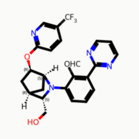 O=Cc1c(-c2ncccn2)cccc1N1[C@H](CO)[C@H]2C[C@@H](Oc3ccc(C(F)(F)F)cn3)[C@@H]1C2